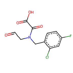 O=CCN(Cc1ccc(F)cc1Cl)C(=O)C(=O)O